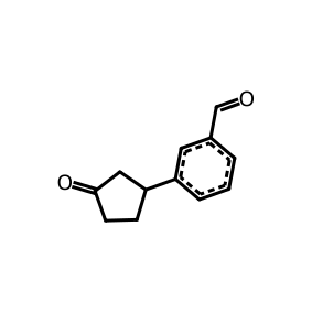 O=Cc1cccc(C2CCC(=O)C2)c1